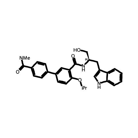 CNC(=O)c1ccc(-c2ccc(OC(C)C)c(C(=O)N[C@@H](CO)Cc3c[nH]c4ccccc34)c2)cc1